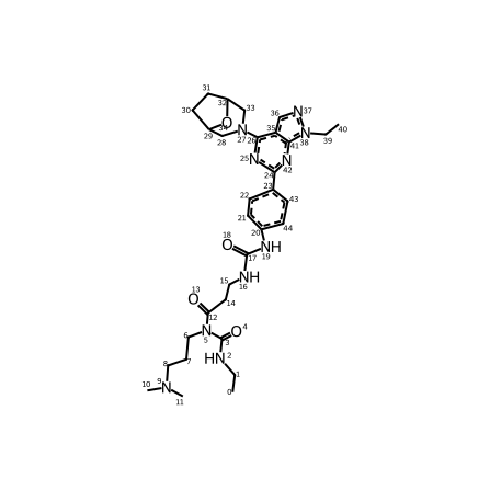 CCNC(=O)N(CCCN(C)C)C(=O)CCNC(=O)Nc1ccc(-c2nc(N3CC4CCC(C3)O4)c3cnn(CC)c3n2)cc1